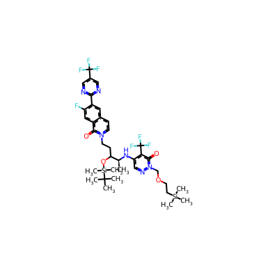 C[C@H](Nc1cnn(COCC[Si](C)(C)C)c(=O)c1C(F)(F)F)C(CCn1ccc2cc(-c3ncc(C(F)(F)F)cn3)c(F)cc2c1=O)O[Si](C)(C)C(C)(C)C